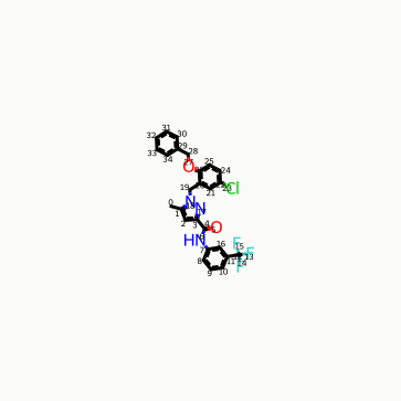 Cc1cc(C(=O)Nc2cccc(C(F)(F)F)c2)nn1Cc1cc(Cl)ccc1OCc1ccccc1